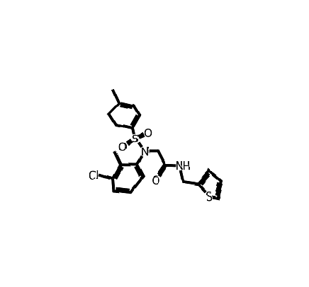 CC1=CC=C(S(=O)(=O)N(CC(=O)NCc2cccs2)c2cccc(Cl)c2C)CC1